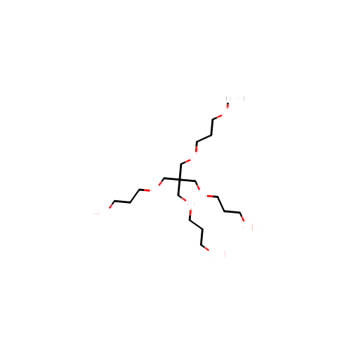 CCCCOCCCOCC(COCCCO)(COCCCO)COCCCO